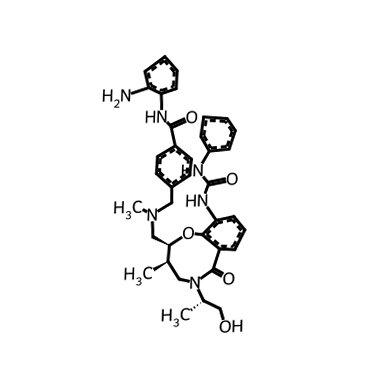 C[C@@H]1CN([C@@H](C)CO)C(=O)c2cccc(NC(=O)Nc3ccccc3)c2O[C@@H]1CN(C)Cc1ccc(C(=O)Nc2ccccc2N)cc1